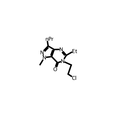 CCCc1nn(C)c2c(=O)n(CCCl)c(CC)nc12